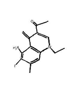 C=C1C(C(C)=O)=CN(CC)c2cc(C)c(F)c(N)c21